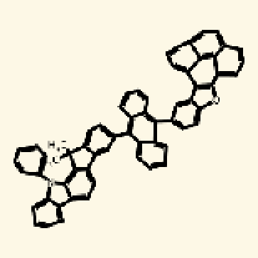 CC1(C)c2ccc(-c3c4ccccc4c(-c4ccc5oc6c7cccc8ccc9cccc(c6c5c4)c9c87)c4ccccc34)cc2-c2ccc3c4ccccc4n(-c4ccccc4)c3c21